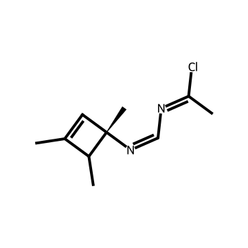 CC1=C[C@](C)(/N=C\N=C(/C)Cl)C1C